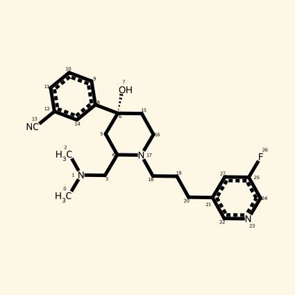 CN(C)CC1C[C@@](O)(c2cccc(C#N)c2)CCN1CCCc1cncc(F)c1